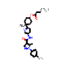 Cc1c(C(=O)Nc2ccc(C3(C#N)CCC(OC(=O)CCC(=O)O)CC3)nc2)cnn1-c1ccc(C(F)(F)F)cc1